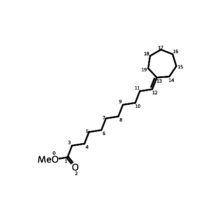 COC(=O)CCCCCCCCCC=C1CCCCCC1